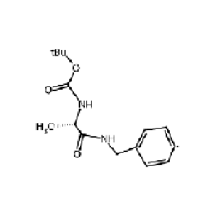 C[C@H](NC(=O)OC(C)(C)C)C(=O)NCc1cc[c]cc1